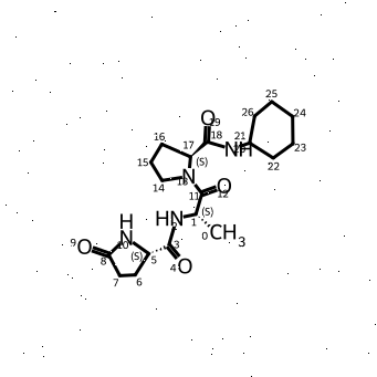 C[C@H](NC(=O)[C@@H]1CCC(=O)N1)C(=O)N1CCC[C@H]1C(=O)NC1CCCCC1